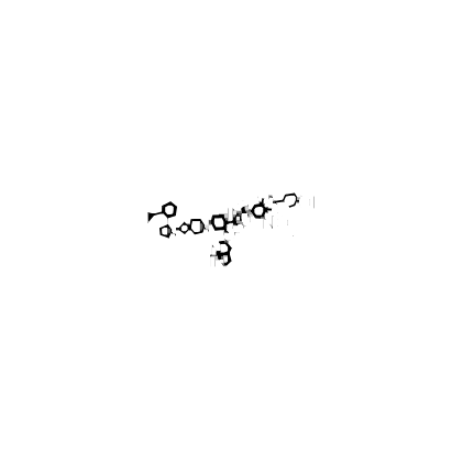 C[C@]1(O)CC[C@H]([C@@H]2COc3cc(S(=O)(=O)NC(=O)c4ccc(N5CCC6(CC5)CC(N5CCC[C@H]5c5ccccc5C5CC5)C6)cc4Oc4cnc5[nH]ccc5c4)cc([N+](=O)[O-])c3O2)CC1